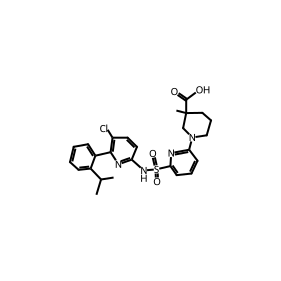 CC(C)c1ccccc1-c1nc(NS(=O)(=O)c2cccc(N3CCCC(C)(C(=O)O)C3)n2)ccc1Cl